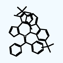 Cc1cccc(C)c1C1=[C]([Hf](=[C](c2ccccc2)c2ccccc2)[CH]2c3cc(C(C)(C)C)ccc3-c3ccc(C(C)(C)C)cc32)CC=C1